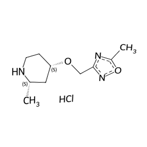 Cc1nc(CO[C@H]2CCN[C@@H](C)C2)no1.Cl